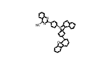 N#Cc1nc(-c2ccc(-n3c4ccc(-c5cccc6c5oc5ccccc56)cc4c4c5ccccc5ccc43)cc2)nc2ccccc12